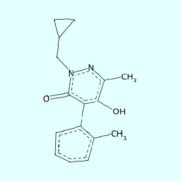 Cc1ccccc1-c1c(O)c(C)nn(CC2CC2)c1=O